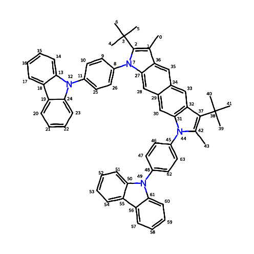 Cc1c(C(C)(C)C)n(-c2ccc(-n3c4ccccc4c4ccccc43)cc2)c2cc3cc4c(cc3cc12)c(C(C)(C)C)c(C)n4-c1ccc(-n2c3ccccc3c3ccccc32)cc1